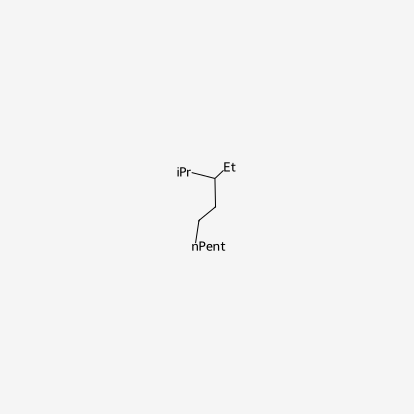 [CH2]CCCCCCC(CC)C([CH2])C